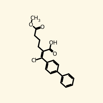 COC(=O)CCCC(C(=O)O)=C(Cl)c1ccc(-c2ccccc2)cc1